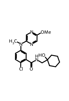 COc1cnc(N(C)c2ccc(Cl)c(C(=O)NCC3(O)CCCCC3)c2)cn1